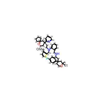 CCC1(C)CC(CCNCc2ccccc2N(CC[C@@]2(c3ccccn3)CCOC3(CCCC3)C2)Cc2sccc2OC)(c2ccc(F)cc2)CCO1